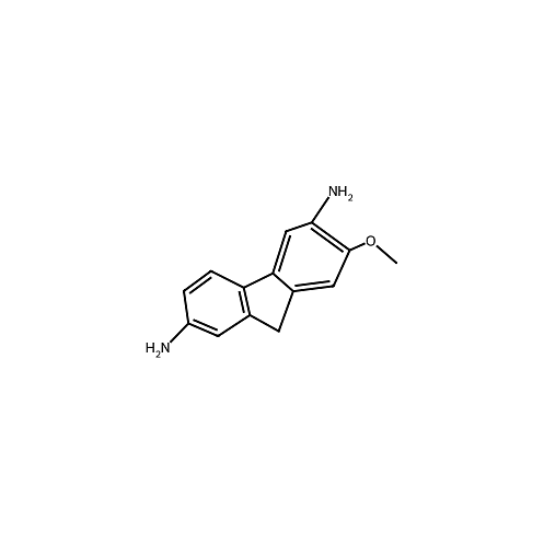 COc1cc2c(cc1N)-c1ccc(N)cc1C2